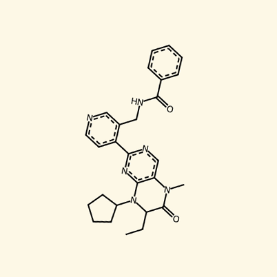 CCC1C(=O)N(C)c2cnc(-c3ccncc3CNC(=O)c3ccccc3)nc2N1C1CCCC1